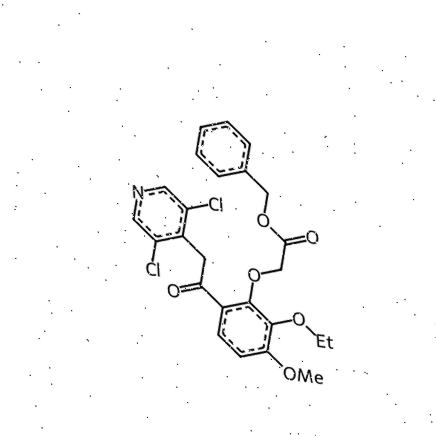 CCOc1c(OC)ccc(C(=O)Cc2c(Cl)cncc2Cl)c1OCC(=O)OCc1ccccc1